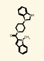 Cn1c(C(=O)N2CCC(N3[CH]Nc4ccccc43)CC2)cc2ccccc21